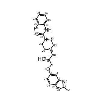 Cc1nc2cc(OCC(O)CN3CCN(C(=S)Nc4ccccc4F)CC3)ccc2s1